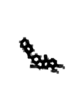 COCc1nc2c(C)c(C)cnn2c(=O)c1N1CCC(Oc2ccc3c(c2)OCCO3)CC1